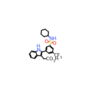 O=C(O)Cc1c(-c2cc(C(F)(F)F)cc(S(=O)(=O)NC3CCCCC3)c2)[nH]c2ccccc12